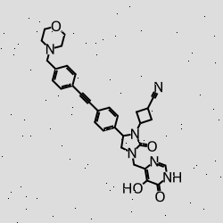 N#CC1CC(N2C(=O)N(Cc3nc[nH]c(=O)c3O)CC2c2ccc(C#Cc3ccc(CN4CCOCC4)cc3)cc2)C1